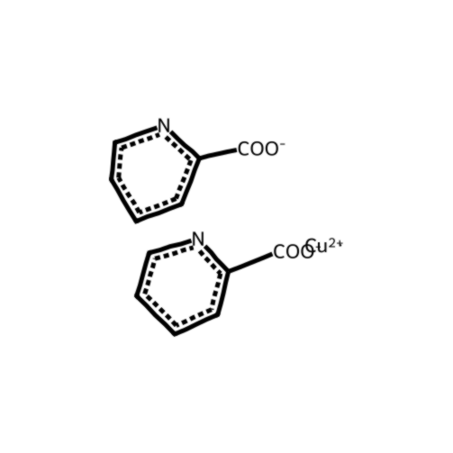 O=C([O-])c1ccccn1.O=C([O-])c1ccccn1.[Cu+2]